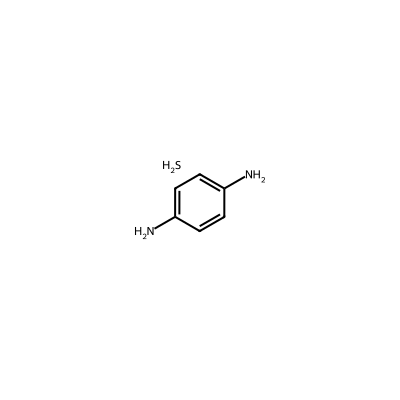 Nc1ccc(N)cc1.S